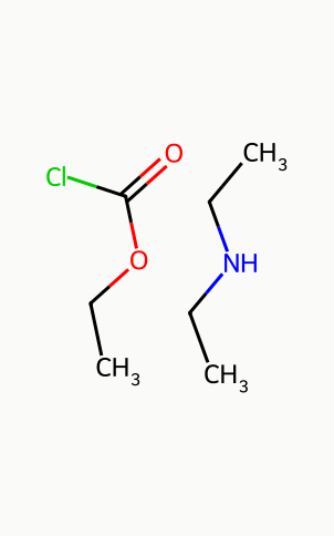 CCNCC.CCOC(=O)Cl